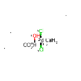 O=C(O)O.[CaH2].[Cl][Pd][Cl]